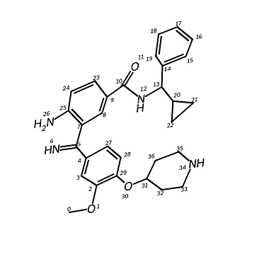 COc1cc(C(=N)c2cc(C(=O)NC(c3ccccc3)C3CC3)ccc2N)ccc1OC1CCNCC1